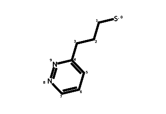 [S]CCCc1cccnn1